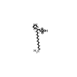 CCCCCCCCCCCCCC(CCS(=O)(=O)O)[n+]1ccccc1